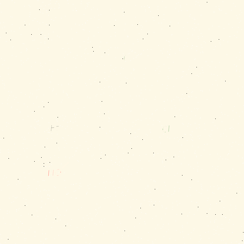 CC[C@@H](CO)c1cc(Cl)cc(Cl)c1